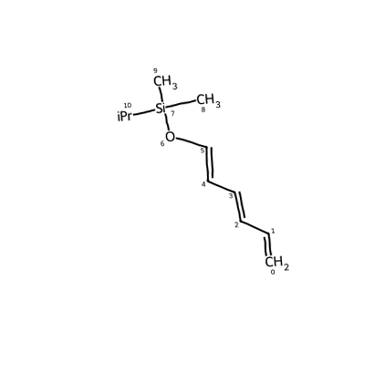 C=C/C=C/C=C/O[Si](C)(C)C(C)C